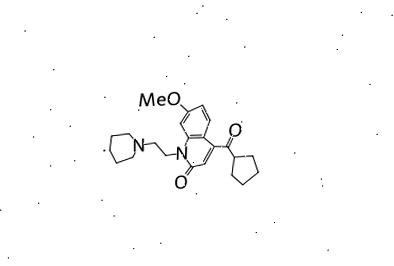 COc1ccc2c(C(=O)C3CCCC3)cc(=O)n(CCN3CC[CH]CC3)c2c1